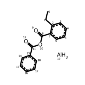 CCc1ccccc1C(=O)OC(=O)c1ccccc1.[AlH3]